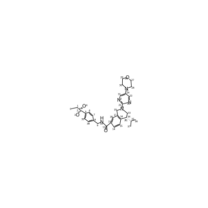 CCS(=O)(=O)c1ccc(CNC(=O)c2ccc3c(c2)CN(c2ncc(N4CCOCC4)cn2)C[C@@H]3C(C)C)cc1